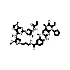 C=CC(=O)N[C@@H]1CN(c2nc(Nc3cn(CCCNC(=O)c4ccc(Nc5ncc6c(n5)N(C5CCCC5)C(CC)C(=O)N6C)c(OC)c4)nc3OC)c3ncn(C)c3n2)C[C@H]1F